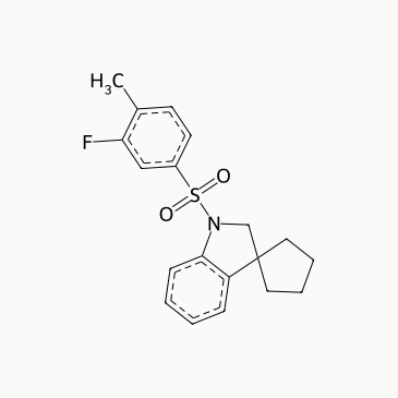 Cc1ccc(S(=O)(=O)N2CC3(CCCC3)c3ccccc32)cc1F